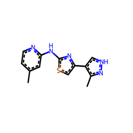 Cc1ccnc(Nc2nc(-c3c[nH]nc3C)cs2)c1